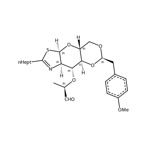 CCCCCCCC1=N[C@@H]2[C@@H](O[C@H](C)C=O)[C@@H]3O[C@H](Cc4ccc(OC)cc4)OC[C@H]3O[C@@H]2S1